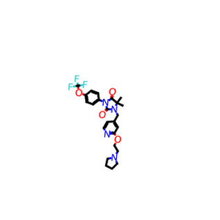 CC1(C)C(=O)N(c2ccc(OC(F)(F)F)cc2)C(=O)N1Cc1ccnc(OCCN2CCCC2)c1